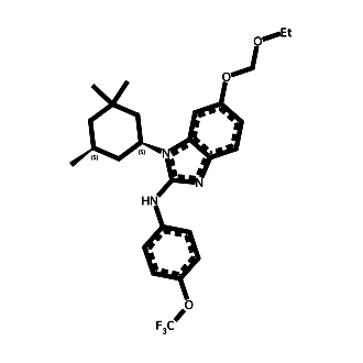 CCOCOc1ccc2nc(Nc3ccc(OC(F)(F)F)cc3)n([C@H]3C[C@@H](C)CC(C)(C)C3)c2c1